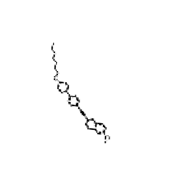 CCCCCCCOc1ccc(-c2ccc(C#Cc3ccc4cc(OC)ccc4c3)cc2)cc1